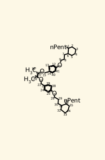 CCCCCC1CCCCC1CCCOc1ccc(CO[C@H](C)[C@@H](C)OCc2ccc(OCCCC3CCCCC3CCCCC)cc2)cc1